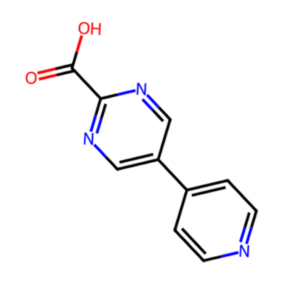 O=C(O)c1ncc(-c2ccncc2)cn1